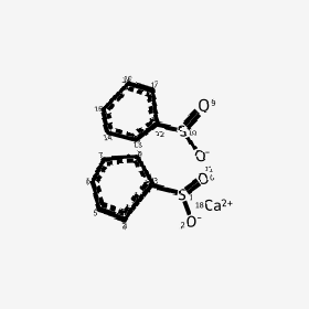 O=S([O-])c1ccccc1.O=S([O-])c1ccccc1.[Ca+2]